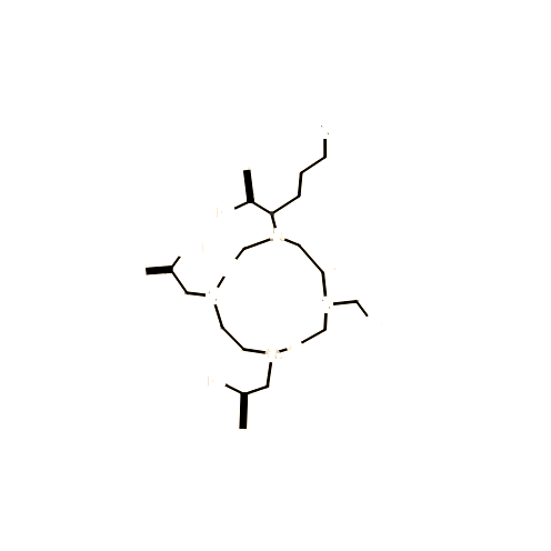 C=C(O)CN1CCN(CC(=C)O)CCN(C(CCCN)C(=C)O)CCN(CC(=O)O)CC1